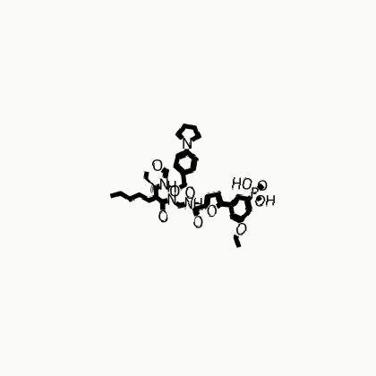 CCCCCC(C(=O)NCNC(=O)c1ccc(-c2cc(OCC)cc(P(=O)(O)O)c2)o1)[C@@H](CC)N(C=O)OC(=O)c1ccc(N2CCCC2)cc1